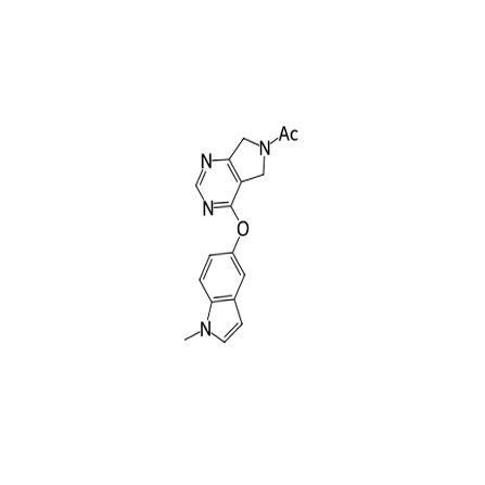 CC(=O)N1Cc2ncnc(Oc3ccc4c(ccn4C)c3)c2C1